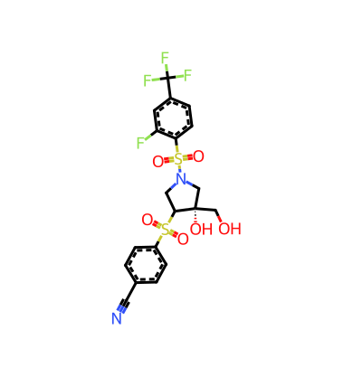 N#Cc1ccc(S(=O)(=O)C2CN(S(=O)(=O)c3ccc(C(F)(F)F)cc3F)C[C@@]2(O)CO)cc1